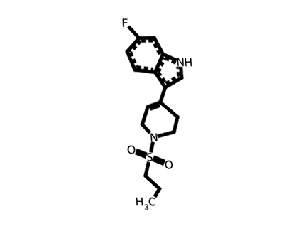 CCCS(=O)(=O)N1CC=C(c2c[nH]c3cc(F)ccc23)CC1